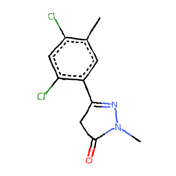 Cc1cc(C2=NN(C)C(=O)C2)c(Cl)cc1Cl